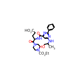 CCOC(=O)N1CCN(C(=O)C(CCC(=O)O)NC(=O)c2cc(NC(C)CO)nc(-c3ccccc3)n2)CC1